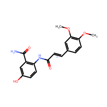 COc1ccc(/C=C/C(=O)Nc2ccc(O)cc2C(N)=O)cc1OC